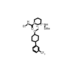 CCNC(=O)N1CCC[C@H](NSC)[C@@H]1COC1CCC(c2cccc(C(F)(F)F)c2)CC1